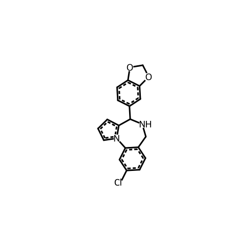 Clc1ccc2c(c1)-n1cccc1C(c1ccc3c(c1)OCO3)NC2